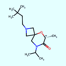 CC(C)N1CC2(CN(CCC(C)(C)C)C2)O[C@H](C)C1=O